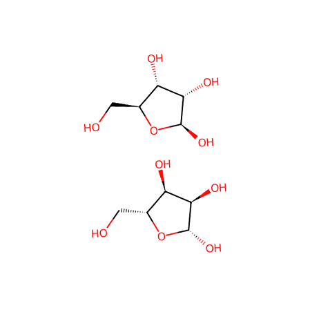 OC[C@@H]1O[C@H](O)[C@@H](O)[C@H]1O.OC[C@H]1O[C@@H](O)[C@H](O)[C@@H]1O